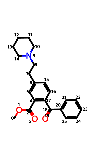 COC(=O)c1cc(CCN2CCCCC2)ccc1C(=O)c1ccccc1